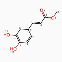 COC(=O)C=CC1C=CC(O)=C(O)C1